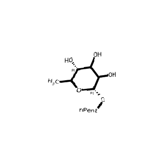 CCCCCO[C@@H]1OC(C)[C@H](O)C(O)C1O